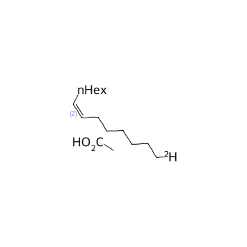 CC(=O)O.[2H]CCCCCC/C=C\CCCCCC